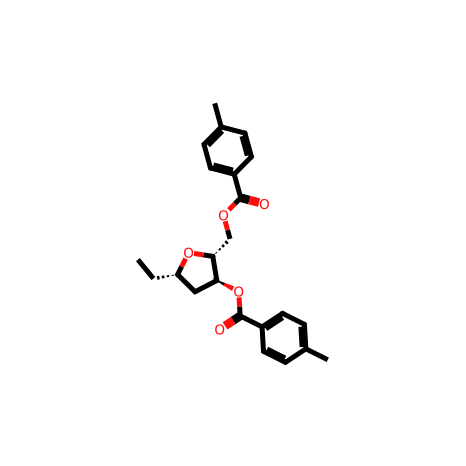 CC[C@H]1C[C@H](OC(=O)c2ccc(C)cc2)[C@@H](COC(=O)c2ccc(C)cc2)O1